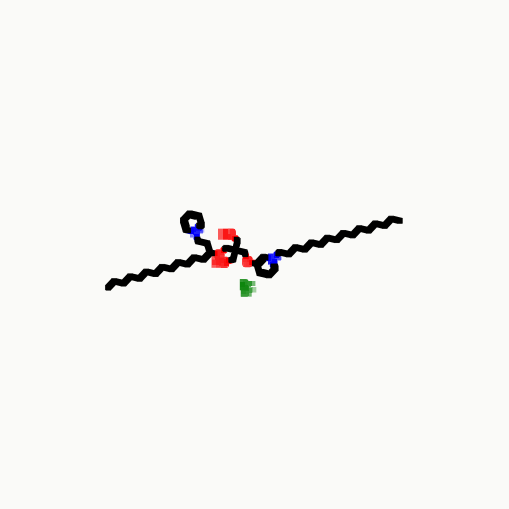 CCCCCCCCCCCCCCCC[n+]1cccc(OCC(CO)(CO)COC(CCCCCCCCCCCCC)CC[n+]2ccccc2)c1.[Br-].[Br-]